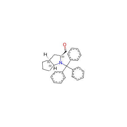 O=C[C@@H]1C[C@@H]2CCC[C@@H]2N1C(c1ccccc1)(c1ccccc1)c1ccccc1